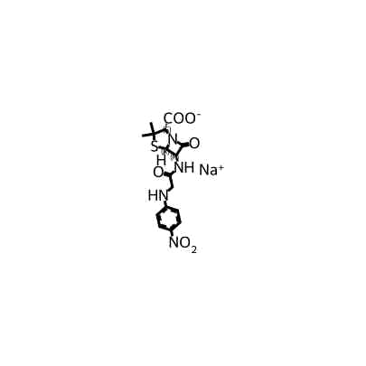 CC1(C)S[C@@H]2[C@H](NC(=O)CNc3ccc([N+](=O)[O-])cc3)C(=O)N2[C@H]1C(=O)[O-].[Na+]